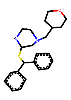 c1ccc(C(SC2CN(CC3CCOCC3)CC[N]2)c2ccccc2)cc1